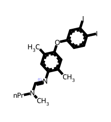 CCCN(C)/C=N/c1cc(C)c(Oc2ccc(I)c(I)c2)cc1C